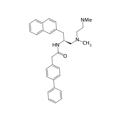 CNCCN(C)C[C@H](Cc1ccc2ccccc2c1)NC(=O)Cc1ccc(-c2ccccc2)cc1